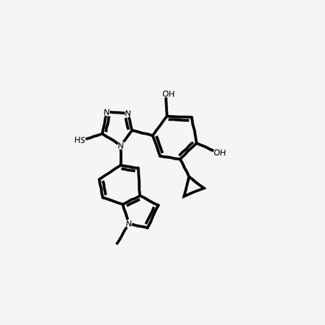 Cn1ccc2cc(-n3c(S)nnc3-c3cc(C4CC4)c(O)cc3O)ccc21